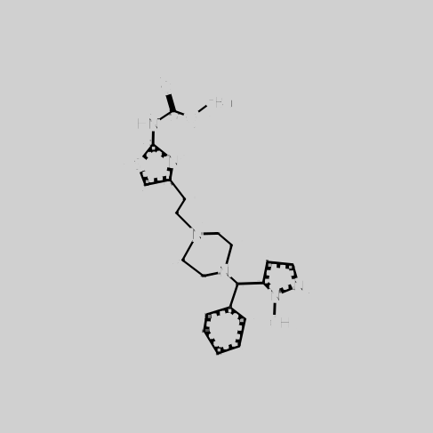 Cn1nccc1C(c1ccccc1)N1CCN(CCc2csc(NC(=O)OC(C)(C)C)n2)CC1